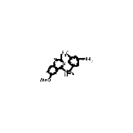 COc1[c]cc2nc(C)nc(N[C@H](C)c3cc(N)cc(C(F)(F)F)c3)c2c1